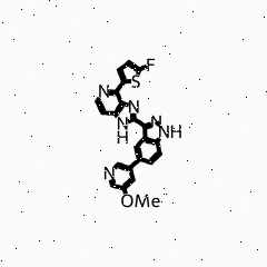 COc1cncc(-c2ccc3[nH]nc(-c4nc5c(-c6ccc(F)s6)nccc5[nH]4)c3c2)c1